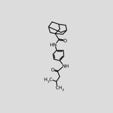 CC(C)CC(=O)Nc1ccc(NC(=O)C23CC4CC(CC(C4)C2)C3)cc1